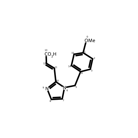 COc1ccc(Cn2ccnc2C=CC(=O)O)cc1